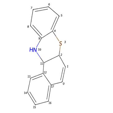 C1=CC2Sc3ccccc3NC2c2ccccc21